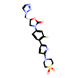 O=C1O[C@@H](Cn2ccnn2)CN1c1ccc(-c2ccc(N3CCS(=O)(=O)CC3)nc2)c(F)c1